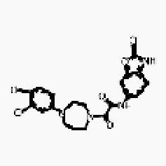 O=C(Nc1ccc2[nH]c(=O)oc2c1)C(=O)N1CCCN(c2ccc(Cl)c(Cl)c2)CC1